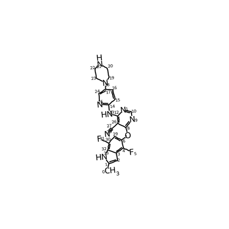 Cc1cc2c(F)c(Oc3ncnc(Nc4ccc(N5CCNCC5)cn4)c3C#N)cc(F)c2[nH]1